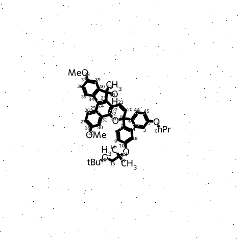 CCCOc1ccc(C2(c3ccc(OC(C)(C)COC(C)(C)C)cc3)C=Cc3c4c(c5ccc(OC)cc5c3O2)-c2ccc(OC)cc2C4(C)O)cc1